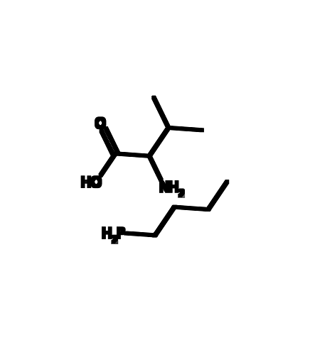 CC(C)C(N)C(=O)O.CCCCP